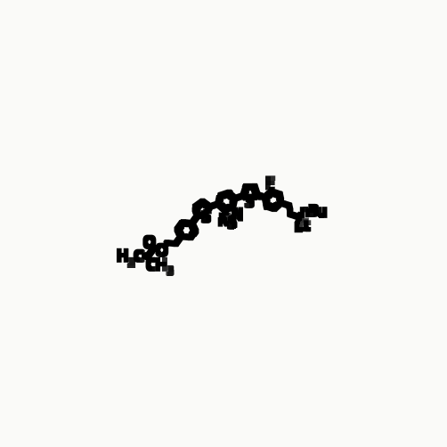 C=C(C)C(=O)OCCc1ccc(-c2ccc(-c3ccc(-c4ccc(-c5ccc(CCC(CC)CCCC)cc5F)s4)c4nsnc34)s2)cc1